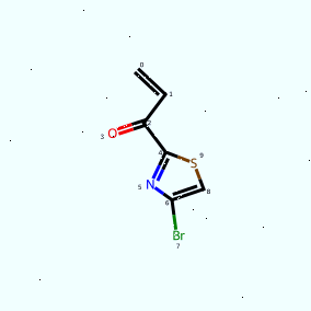 C=CC(=O)c1nc(Br)cs1